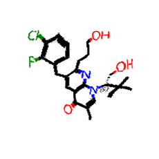 Cc1cn([C@H](CO)C(C)(C)C)c2nc(CCCO)c(Cc3cccc(Cl)c3F)cc2c1=O